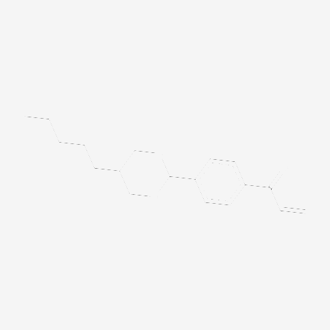 C=CC(=O)c1ccc(C2OCC(CCCCC)CO2)cc1